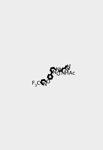 CC(=O)N[C@H](Cc1cn(C)cn1)C(=O)Nc1cccc(-c2ccc(Oc3ccc(C(F)(F)F)cn3)cc2)n1